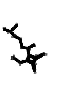 CCOc1c(N(C)CCCN(C)C)c(=O)c1=O